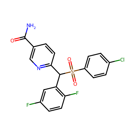 NC(=O)c1ccc(C(c2cc(F)ccc2F)S(=O)(=O)c2ccc(Cl)cc2)nc1